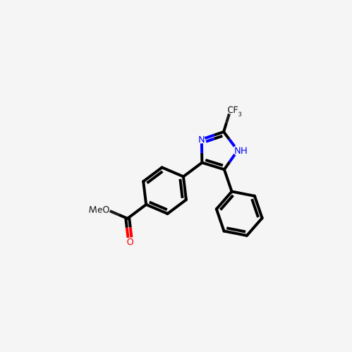 COC(=O)c1ccc(-c2nc(C(F)(F)F)[nH]c2-c2ccccc2)cc1